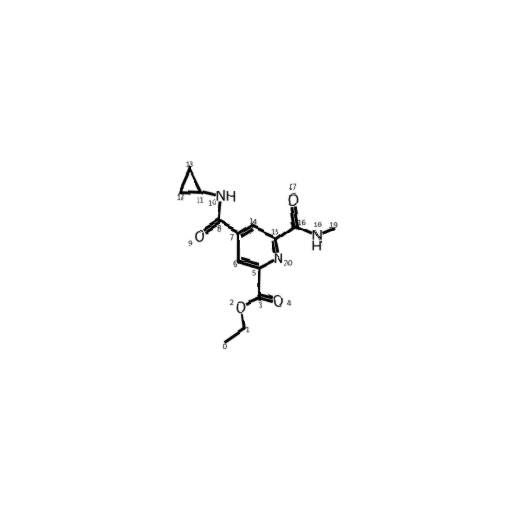 CCOC(=O)c1cc(C(=O)NC2CC2)cc(C(=O)NC)n1